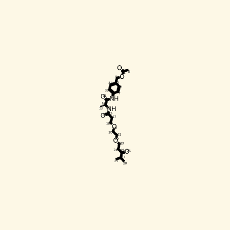 CC(=O)OCc1ccc(NC(=O)[C@H](C)NC(=O)CCOCCOCCC(=O)C(C)C)cc1